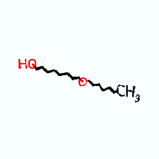 CCCCCCCOCCCCCCCCO